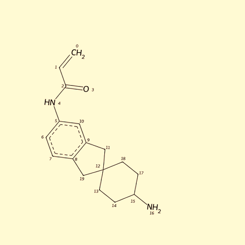 C=CC(=O)Nc1ccc2c(c1)CC1(CCC(N)CC1)C2